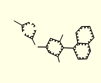 Nc1nc(Nc2cc(Cl)c(-c3cccc4ccccc34)c(Cl)c2)n[nH]1